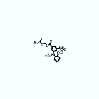 CCCCNc1cc(C(=O)OCOC(=O)C(C)(C)C)cc(N[SH](=O)=O)c1Oc1ccccc1